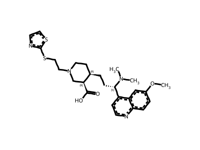 COc1ccc2nccc([C@H](CC[C@@H]3CCN(CCSc4nccs4)C[C@@H]3C(=O)O)N(C)C)c2c1